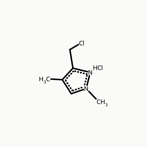 Cc1cn(C)nc1CCl.Cl